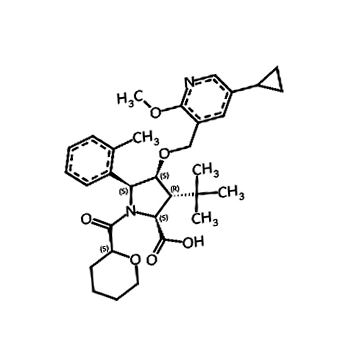 COc1ncc(C2CC2)cc1CO[C@H]1[C@H](C(C)(C)C)[C@@H](C(=O)O)N(C(=O)[C@@H]2CCCCO2)[C@H]1c1ccccc1C